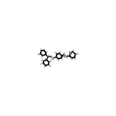 c1ccc(C(COc2ccc(CNc3ccccn3)cc2)c2ccccc2)cc1